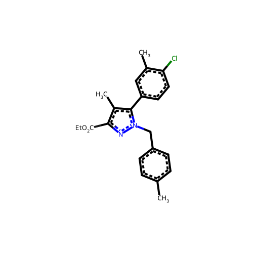 CCOC(=O)c1nn(Cc2ccc(C)cc2)c(-c2ccc(Cl)c(C)c2)c1C